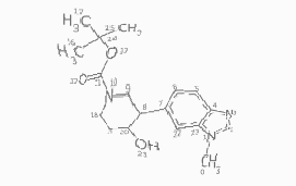 Cn1cnc2ccc(C3CN(C(=O)OC(C)(C)C)CCC3O)cc21